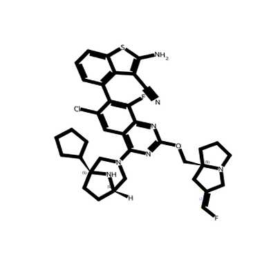 N#Cc1c(N)sc2cccc(-c3c(Cl)cc4c(N5C[C@@H]6CC[C@](C7CCCC7)(C5)N6)nc(OC[C@@]56CCCN5C/C(=C\F)C6)nc4c3F)c12